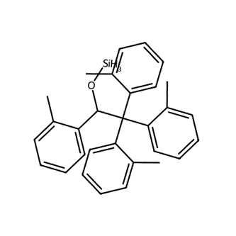 Cc1ccccc1C(O[SiH3])C(c1ccccc1C)(c1ccccc1C)c1ccccc1C